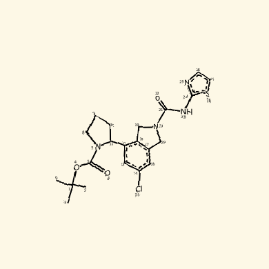 CC(C)(C)OC(=O)N1CCCC1c1cc(Cl)cc2c1CN(C(=O)Nc1nccs1)C2